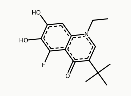 CCn1cc(C(C)(C)C)c(=O)c2c(F)c(O)c(O)cc21